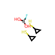 OB(O)F.SC1CC1.SC1CC1